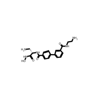 NCCNC(=O)c1cccc(-c2ccc(C(=O)N[C@@H](CN)C(=O)NO)cc2)c1